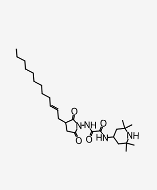 CCCCCCCCCC=CCC1CC(=O)N(NC(=O)C(=O)NC2CC(C)(C)NC(C)(C)C2)C1=O